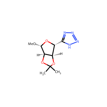 CO[C@@H]1O[C@H](c2nnn[nH]2)[C@H]2OC(C)(C)O[C@@H]12